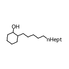 CCCCCCCCCCCCC1CCCCC1O